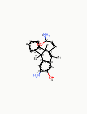 CCC1=C(/C=C\C(N)O)C2(C)c3ccccc3C2(CC)c2cc(N)c(O)cc21